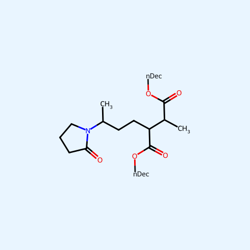 CCCCCCCCCCOC(=O)C(C)C(CCC(C)N1CCCC1=O)C(=O)OCCCCCCCCCC